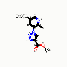 CCOC(=O)c1cnc(C)c(-n2cc(C(=O)OC(C)(C)C)nn2)c1